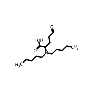 CCCCCN(CCCCC)C(CCC=O)C(=O)O